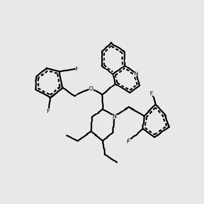 CCC1CC(C(OCc2c(F)cccc2F)c2ccnc3ccccc23)N(Cc2c(F)cccc2F)CC1CC